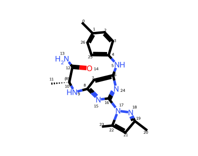 Cc1ccc(Nc2cc(N[C@H](C)C(N)=O)nc(-n3nc(C)cc3C)n2)cc1